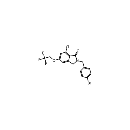 O=C1c2c(Cl)cc(OCC(F)(F)F)cc2CN1Cc1ccc(Br)cc1